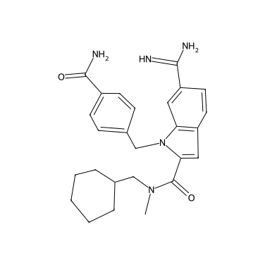 CN(CC1CCCCC1)C(=O)c1cc2ccc(C(=N)N)cc2n1Cc1ccc(C(N)=O)cc1